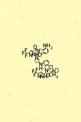 CC(CN(Cc1c(Cl)cccc1NC1CCN(CCN(Cc2c(N)cccc2Cl)C(=O)c2cc(C(F)(F)F)n[nH]2)C1)C(=O)c1cc(C(F)(F)F)n[nH]1)N1CCCC1